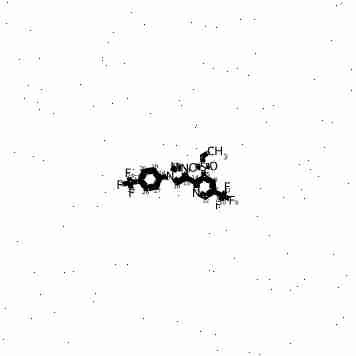 CCS(=O)(=O)c1cc(C(F)(F)F)cnc1-c1cn(-c2ccc(C(F)(F)F)cc2)nn1